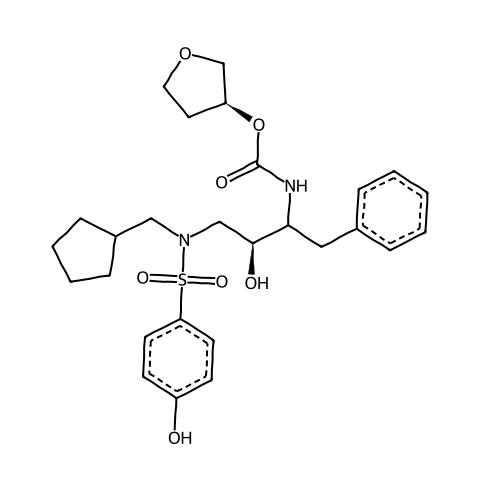 O=C(NC(Cc1ccccc1)[C@@H](O)CN(CC1CCCC1)S(=O)(=O)c1ccc(O)cc1)O[C@H]1CCOC1